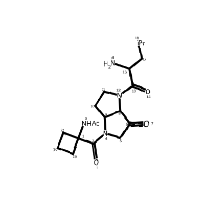 CC(=O)NC1(C(=O)N2CC(=O)C3C2CCN3C(=O)C(N)CC(C)C)CCC1